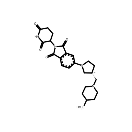 O=C1CCC(N2C(=O)c3ccc(N4CC[C@H](CN5CCC(C(=O)O)CC5)C4)cc3C2=O)C(=O)N1